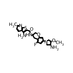 CO[C@H]1CN(c2cc(F)c3c(c2)OC[C@H](NC(=O)c2sc4nc(C)ccc4c2N)C3)C[C@@H]1N